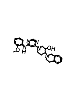 COc1ccccc1Nc1cc(N2CCC(N3CCc4ccccc4C3)C(O)C2)ncn1